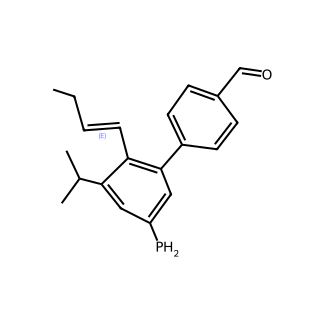 CC/C=C/c1c(-c2ccc(C=O)cc2)cc(P)cc1C(C)C